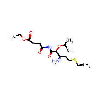 CCOC(=O)CCC(=O)NC(=O)C(OC(C)C)[C@H](N)CCSCC